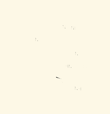 O=C(N[C@@H]1CNC[C@H]1c1cccc(-c2ccccc2)c1)N1CCc2[nH]nc(-c3ccncc3)c2C1